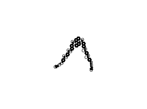 CC1(COCOc2ccc(C(=O)Oc3ccc(C(=O)Oc4ccc5cc(C(=O)Oc6ccc7ccccc7c6-c6c(OC(=O)c7ccc8cc(OC(=O)c9ccc(OC(=O)c%10ccc(OCOCC%11(C)COC%11)cc%10)cc9)ccc8c7)ccc7ccccc67)ccc5c4)cc3)cc2)COC1